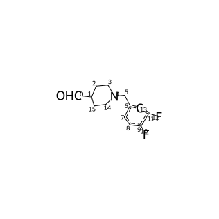 O=CC1CCN(Cc2ccc(F)c(F)c2)CC1